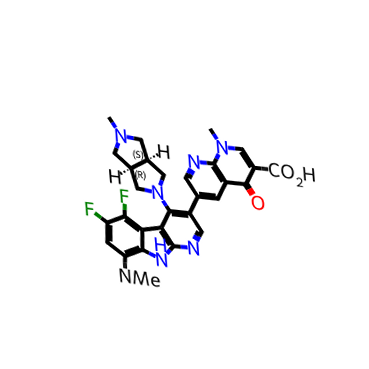 CNc1cc(F)c(F)c2c1[nH]c1ncc(-c3cnc4c(c3)c(=O)c(C(=O)O)cn4C)c(N3C[C@H]4CN(C)C[C@H]4C3)c12